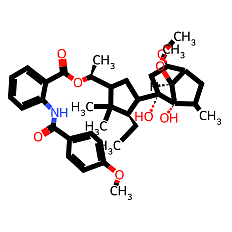 CC[C@@H]1C([C@@]2(O)C[C@H](OC)C3CC(C)[C@]2(O)[C@H]3OC)CC([C@H](C)OC(=O)c2ccccc2NC(=O)c2ccc(OC)cc2)C1(C)C